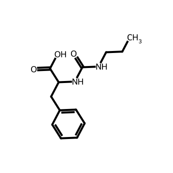 CCCNC(=O)NC(Cc1ccccc1)C(=O)O